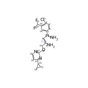 N/C(=C\N(N)c1ccc(Cl)c(C(F)F)c1)COc1nccc(C2CC2)n1